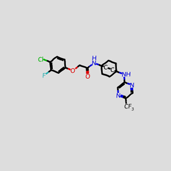 O=C(COc1ccc(Cl)c(F)c1)NC12CCC(Nc3cnc(C(F)(F)F)cn3)(CC1)CC2